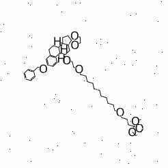 COC(CCCOCCCCCCCCCCCOCCO[C@H]1C[C@@]2(C)[C@@H](CCC23OCCO3)[C@@H]2CCc3cc(OCc4ccccc4)ccc3[C@H]21)(OC)OC